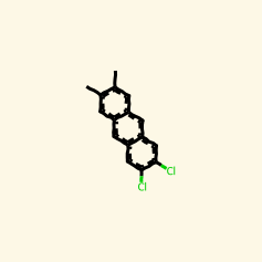 Cc1cc2cc3cc(Cl)c(Cl)cc3cc2cc1C